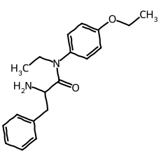 CCOc1ccc(N(CC)C(=O)C(N)Cc2ccccc2)cc1